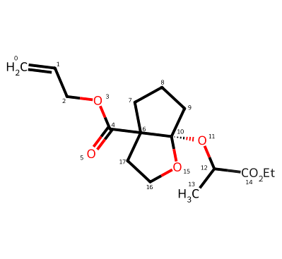 C=CCOC(=O)C12CCC[C@@]1(OC(C)C(=O)OCC)OCC2